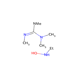 CCNO.CN=C(NC)N(C)C